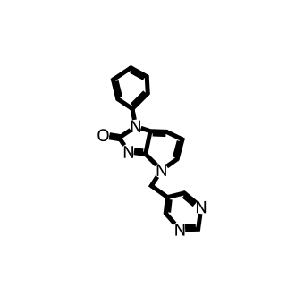 O=c1nc2n(Cc3cncnc3)cccc-2n1-c1ccccc1